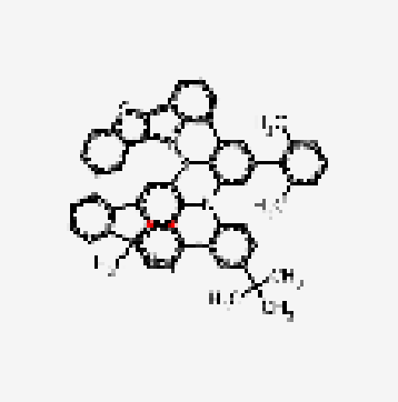 Cc1cccc(C)c1-c1cc2c3c(c1)N(c1ccc(C(C)(C)C)cc1-c1ccccc1)c1cc4c(cc1B3n1c3c-2cccc3c2sc3ccccc3c21)-c1ccccc1C4(C)C